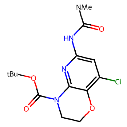 CNC(=O)Nc1cc(Cl)c2c(n1)N(C(=O)OC(C)(C)C)CCO2